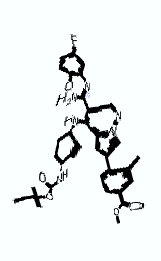 COC(=O)c1ccc(-c2cc3c(N[C@H]4CC[C@H](NC(=O)OC(C)(C)C)CC4)c(/C(N)=N/c4cc(F)ccc4Cl)cnn3c2)c(C)c1